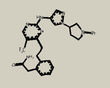 CC(C)N1CCC(n2cc(Nc3ncc(C(F)(F)F)c(CCc4ccccc4CC(N)=O)n3)cn2)C1